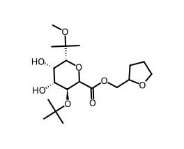 COC(C)(C)[C@@H]1OC(C(=O)OCC2CCCO2)[C@@H](OC(C)(C)C)[C@H](O)[C@@H]1O